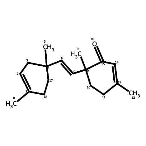 CC1=CCC(C)(C=CC2(C)CCC(C)=CC2=O)CC1